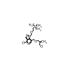 C=C(CCl)COCc1cnc(Cl)c2cnn(COCC[Si](C)(C)C)c12